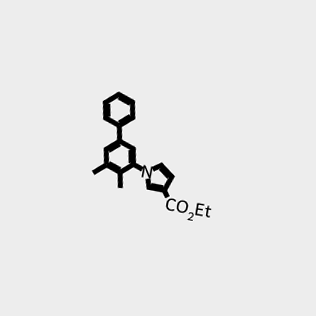 CCOC(=O)c1ccn(-c2cc(-c3ccccc3)cc(C)c2C)c1